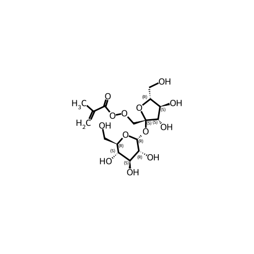 C=C(C)C(=O)OOC[C@@]1(O[C@H]2O[C@H](CO)[C@@H](O)[C@H](O)[C@H]2O)O[C@H](CO)[C@@H](O)[C@@H]1O